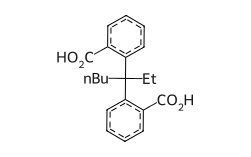 CCCCC(CC)(c1ccccc1C(=O)O)c1ccccc1C(=O)O